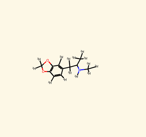 [2H]c1c([2H])c(C([2H])([2H])C(N([2H])C([2H])([2H])[2H])C([2H])([2H])[2H])c([2H])c2c1OC([2H])([2H])O2